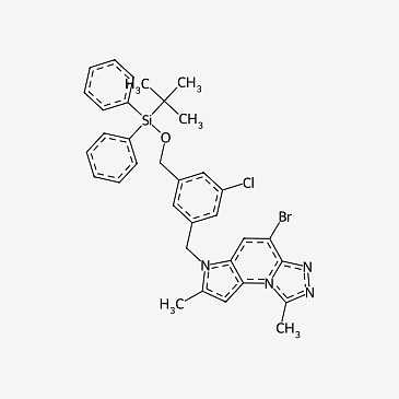 Cc1cc2c(cc(Br)c3nnc(C)n32)n1Cc1cc(Cl)cc(CO[Si](c2ccccc2)(c2ccccc2)C(C)(C)C)c1